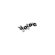 C=N/C(C)=C\C(=C/C)Nc1ccc(C(=O)Nc2ccc(Oc3ccncc3)cc2)cc1